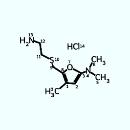 Cc1cc(N(C)C)oc1CSCCN.Cl